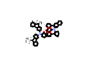 CC1(C)c2ccccc2-c2cc(N(c3ccc4c(c3)-c3ccccc3C4(C)C)c3cccc4c3oc3ccc(N(c5ccccc5-c5ccccc5)c5cc6ccccc6cc5-c5ccccc5)cc34)ccc21